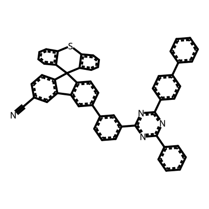 N#Cc1ccc2c(c1)-c1cc(-c3cccc(-c4nc(-c5ccccc5)nc(-c5ccc(-c6ccccc6)cc5)n4)c3)ccc1C21c2ccccc2Sc2ccccc21